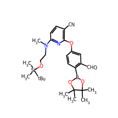 CN(CCO[Si](C)(C)C(C)(C)C)c1ccc(C#N)c(Oc2ccc(B3OC(C)(C)C(C)(C)O3)c(C=O)c2)n1